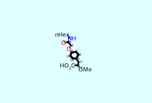 CCCCCCNC(=O)COc1ccc(CC(OC)C(=O)O)cc1